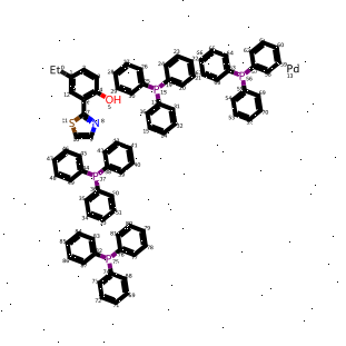 CCc1ccc(O)c(-c2nccs2)c1.[Pd].c1ccc(P(c2ccccc2)c2ccccc2)cc1.c1ccc(P(c2ccccc2)c2ccccc2)cc1.c1ccc(P(c2ccccc2)c2ccccc2)cc1.c1ccc(P(c2ccccc2)c2ccccc2)cc1